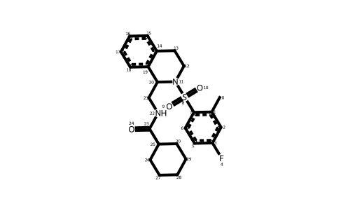 Cc1cc(F)ccc1S(=O)(=O)N1CCc2ccccc2C1CNC(=O)C1CCCCC1